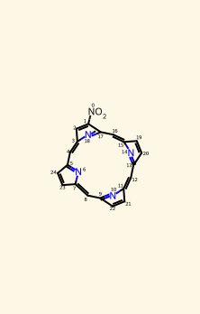 O=[N+]([O-])C1=CC2=CC3=NC(=CC4=NC(=CC5=NC(=CC1=N2)C=C5)C=C4)C=C3